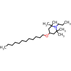 CCCCCCCCCCCCOC1CC(C)(C)N(CCC)C(C)(C)C1